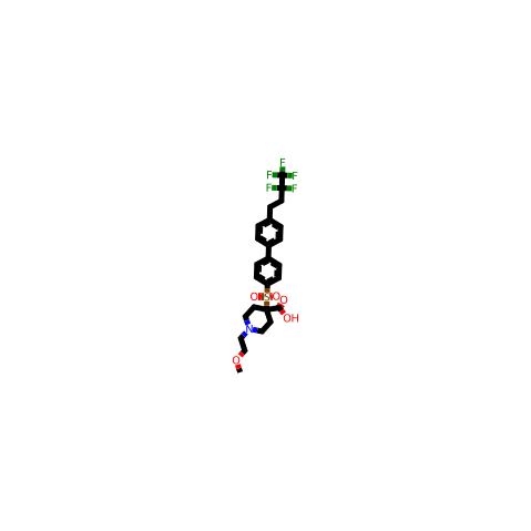 COCCN1CCC(C(=O)O)(S(=O)(=O)c2ccc(-c3ccc(CCC(F)(F)C(F)(F)F)cc3)cc2)CC1